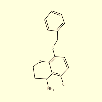 NC1CCOc2c(SCc3ccccc3)ccc(Cl)c21